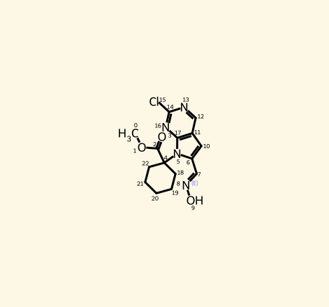 COC(=O)C1(n2c(/C=N/O)cc3cnc(Cl)nc32)CCCCC1